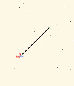 O=C(CCCCCCCCCCCCCCCCCCCCCCCCCCCCCCCCCCCCCl)NO